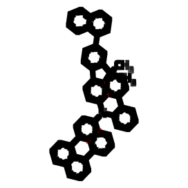 CC1(C)c2cc(-c3cccc4ccccc34)ccc2-c2ccc(N(c3ccc(-c4cccc5cccc(-c6ccccc6)c45)cc3)c3ccccc3-c3ccccc3)cc21